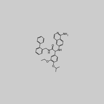 CCOc1cc(C(Nc2ccc3c(N)nccc3c2)C(=O)NCc2ccccc2-c2ccccc2)ccc1OC(C)C